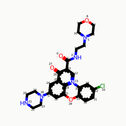 O=C(NCCN1CCOCC1)c1cn2c3c(cc(N4CCNCC4)cc3c1=O)Oc1ccc(Cl)cc1-2